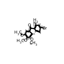 COc1cc(C(=O)c2ccc(Br)cc2N)cc(OC)c1OC